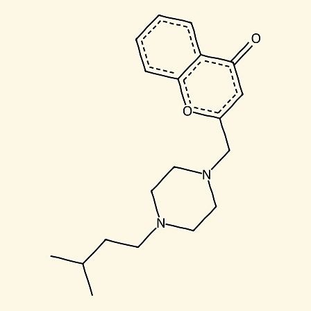 CC(C)CCN1CCN(Cc2cc(=O)c3ccccc3o2)CC1